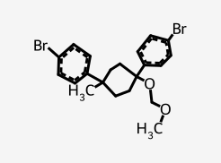 COCOC1(c2ccc(Br)cc2)CCC(C)(c2ccc(Br)cc2)CC1